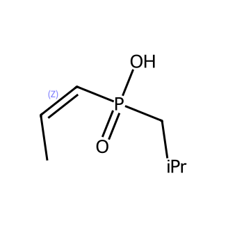 C/C=C\P(=O)(O)CC(C)C